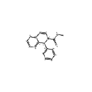 COC(=O)N1C=Cc2ccccc2C1c1ccccc1